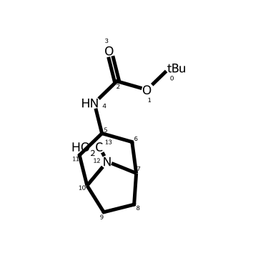 CC(C)(C)OC(=O)NC1CC2CCC(C1)N2C(=O)O